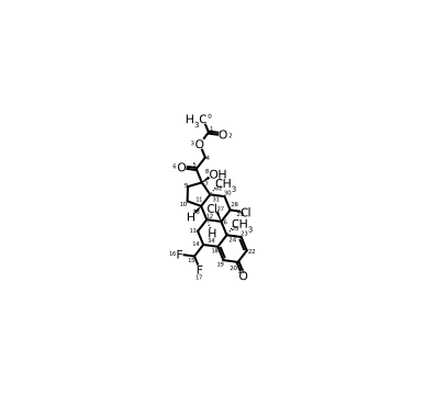 CC(=O)OCC(=O)[C@@]1(O)CC[C@H]2[C@@H]3CC(C(F)F)C4=CC(=O)C=C[C@]4(C)[C@@]3(Cl)C(Cl)C[C@@]21C